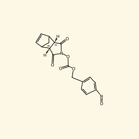 O=Nc1ccc(COC(=O)ON2C(=O)[C@@H]3C4C=CC(C4)[C@@H]3C2=O)cc1